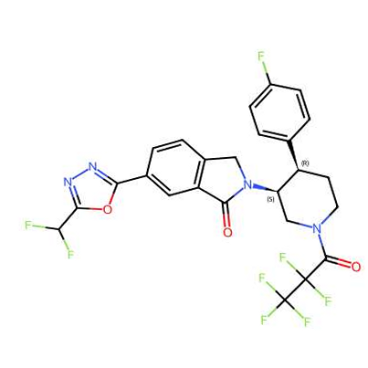 O=C1c2cc(-c3nnc(C(F)F)o3)ccc2CN1[C@@H]1CN(C(=O)C(F)(F)C(F)(F)F)CC[C@@H]1c1ccc(F)cc1